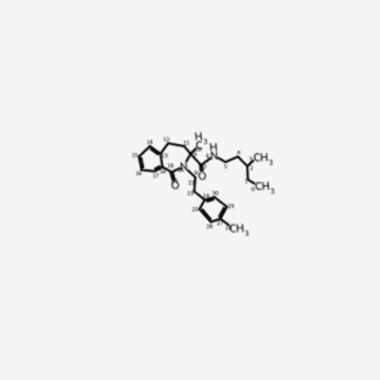 CCC(C)CCNC(=O)C1(C)CCc2ccccc2C(=O)N1CCc1ccc(C)cc1